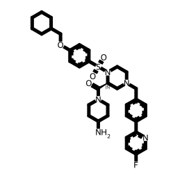 NC1CCN(C(=O)[C@@H]2CN(Cc3ccc(-c4ccc(F)cn4)cc3)CCN2S(=O)(=O)c2ccc(OCC3CCCCC3)cc2)CC1